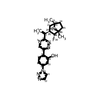 C=C(c1ncc(-c2ccc(-n3ccnn3)cc2O)nn1)[C@H]1C[C@]2(C)CC[C@@](C)(N2)[C@@H]1F